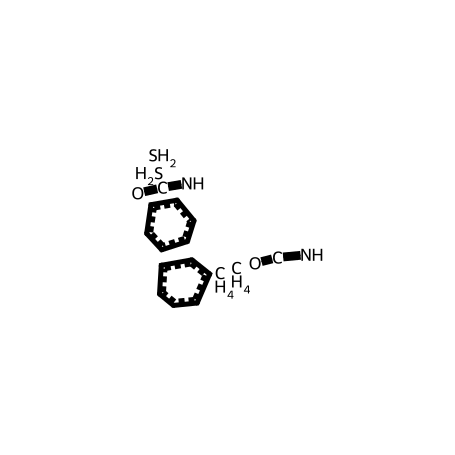 C.C.N=C=O.N=C=O.S.S.c1ccccc1.c1ccccc1